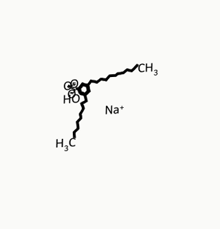 CCCCCCCCCCCCc1cc(CCCCCCCCCC)c(O)c(S(=O)(=O)[O-])c1.[Na+]